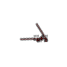 COCCOCCOCCOCCOCCOCCOCCOCCOCCOCC(=O)NCCCC[C@H](NC(=O)CCCNC(=O)[C@H]([C@@H](C(=O)NCCCC(=O)N[C@@H](CCCCNC(=O)COCCOCCOCCOCCOCCOCCOCCOCCOCCOC)C(=O)N[C@H](C(=O)ON1C(=O)CCC1=O)C(C)C)N1C(=O)C=CC1=O)N1C(=O)C=CC1=O)C(=O)N[C@H](C(=O)ON1C(=O)CCC1=O)C(C)C